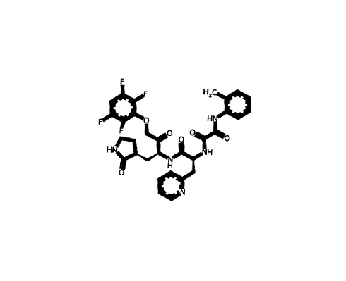 Cc1ccccc1NC(=O)C(=O)N[C@@H](Cc1ccccn1)C(=O)N[C@@H](C[C@@H]1CCNC1=O)C(=O)COc1c(F)c(F)cc(F)c1F